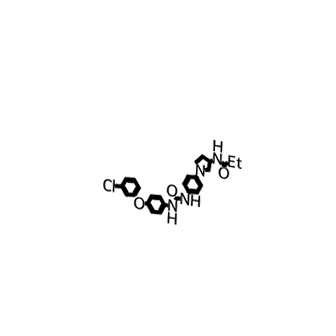 CCC(=O)NC1CCN(c2ccc(NC(=O)Nc3ccc(Oc4cccc(Cl)c4)cc3)cc2)C1